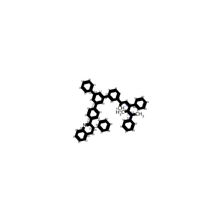 CC(/C(=C\C(C)c1cccc(-c2cc(-c3ccccc3)cc(-c3ccc(C4=Nc5ccccc5C[C@H]4c4ccccc4)cc3)c2)c1)c1ccccc1)=C(/C)c1ccccc1